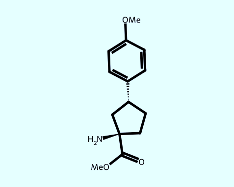 COC(=O)[C@@]1(N)CC[C@@H](c2ccc(OC)cc2)C1